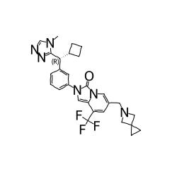 Cn1cnnc1[C@@H](c1cccc(-n2cc3c(C(F)(F)F)cc(CN4CC5(CC5)C4)cn3c2=O)c1)C1CCC1